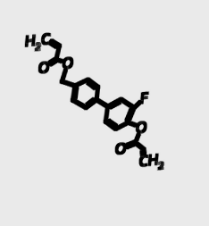 C=CC(=O)OCc1ccc(-c2ccc(OC(=O)C=C)c(F)c2)cc1